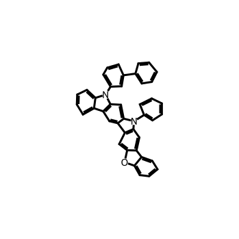 c1ccc(-c2cccc(-n3c4ccccc4c4cc5c6cc7oc8ccccc8c7cc6n(-c6ccccc6)c5cc43)c2)cc1